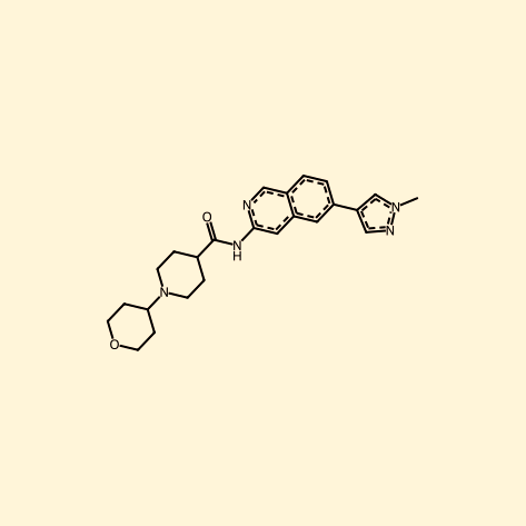 Cn1cc(-c2ccc3cnc(NC(=O)C4CCN(C5CCOCC5)CC4)cc3c2)cn1